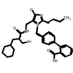 CCCCc1nc(Cl)c(CNC(=O)C(CS)CC2CCCCC2)n1Cc1ccc(-c2ccccc2C(=O)O)cc1